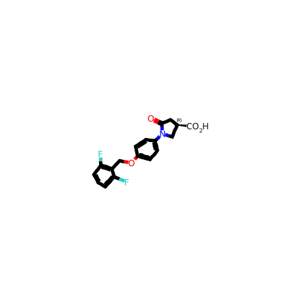 O=C(O)[C@@H]1CC(=O)N(c2ccc(OCc3c(F)cccc3F)cc2)C1